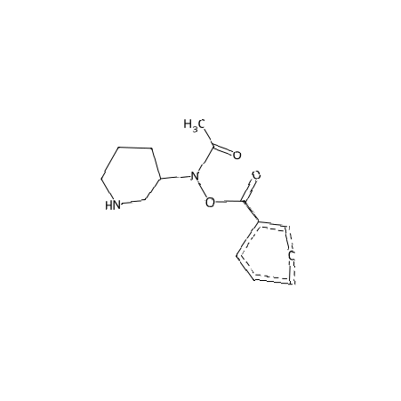 CC(=O)N(OC(=O)c1ccccc1)C1CCCNC1